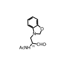 CC(=O)N[C@H]([C]=O)CN1COc2ccccc21